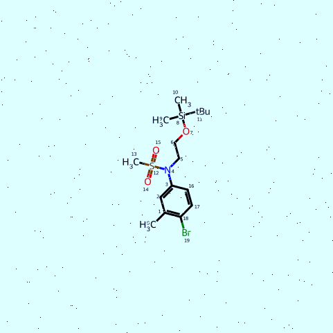 Cc1cc(N(CCO[Si](C)(C)C(C)(C)C)S(C)(=O)=O)ccc1Br